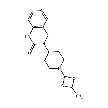 CC1OC(N2CCC(N3Cc4cnccc4NC3=O)CC2)O1